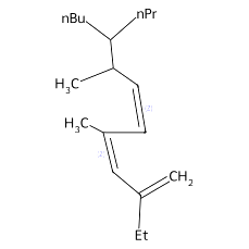 C=C(/C=C(C)\C=C/C(C)C(CCC)CCCC)CC